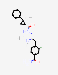 CN(C)[C@H](CNC(=O)[C@@H]1C[C@@]1(C)c1ccccc1)Cc1ccc(C(N)=O)cc1Cl